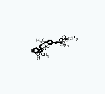 CC(=O)NC(C)(C)C#Cc1ccc([C@H](C)N2CCC(CC(C)(C)O)(c3ccccc3)OC2=O)cc1